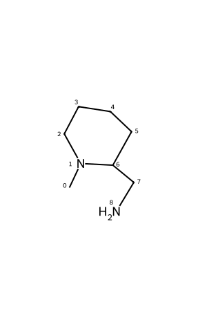 CN1CCCCC1CN